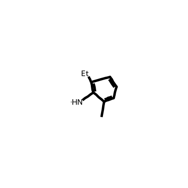 CCc1cccc(C)c1[NH]